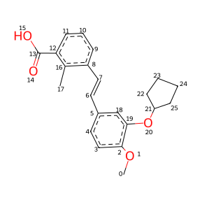 COc1ccc(C=Cc2cccc(C(=O)O)c2C)cc1OC1CCCC1